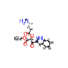 CC(C)(C)OC(=O)C(OC(=O)CCCN)C(=O)[C@@H](N)Cc1ccccc1